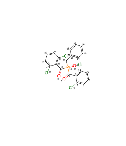 O=C(c1c(Cl)cccc1Cl)P(=O)(Cc1ccccc1)C(=O)c1c(Cl)cccc1Cl